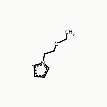 CCOCCn1[c]ccc1